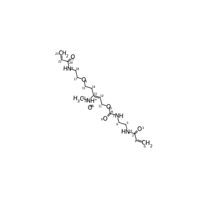 C=CC(=O)NCCNC(=O)OCC=C(CCOCCNC(=O)C=C)[NH+](C)[O-]